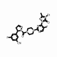 CCn1c(C)nn(-c2nc(N3CCN(C(=O)N4N=CCC4c4cc(F)cc(C#N)c4)CC3)ncc2F)c1=O